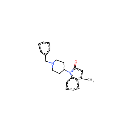 Cc1cc(=O)n(C2CCN(Cc3ccccc3)CC2)c2ccccc12